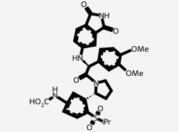 COc1ccc([C@H](Nc2ccc3c(c2)C(=O)NC3=O)C(=O)N2CCC[C@@H]2c2cc(NC(=O)O)ccc2S(=O)(=O)C(C)C)cc1OC